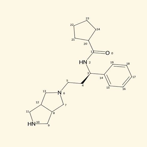 O=C(N[C@H](CCN1CC2CNCC2C1)c1ccccc1)C1CCCC1